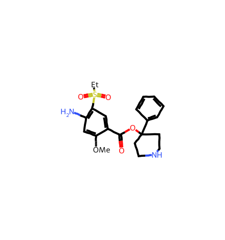 CCS(=O)(=O)c1cc(C(=O)OC2(c3ccccc3)CCNCC2)c(OC)cc1N